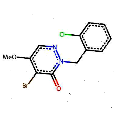 COc1cnn(Cc2ccccc2Cl)c(=O)c1Br